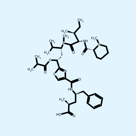 CC[C@H](C)[C@H](NC(=O)[C@H]1CCCCN1C)C(=O)N(C)[C@H](C[C@@H](OC(=O)C(C)C)c1nc(C(=O)N[C@@H](Cc2ccccc2)C[C@H](C)C(=O)O)cs1)C(C)C